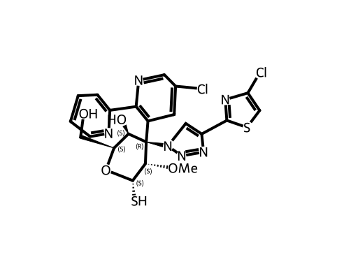 CO[C@@H]1[C@H](S)O[C@@H](CO)[C@@H](O)[C@@]1(c1cc(Cl)cnc1-c1ccccn1)n1cc(-c2nc(Cl)cs2)nn1